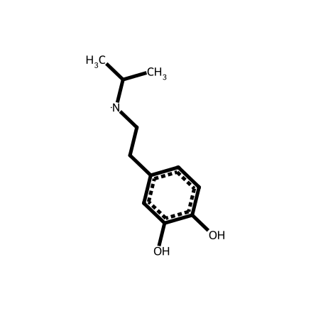 CC(C)[N]CCc1ccc(O)c(O)c1